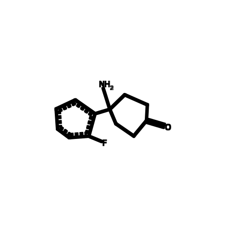 NC1(c2ccccc2F)CCC(=O)CC1